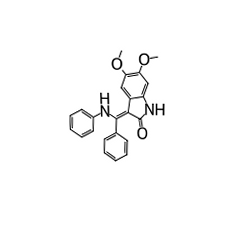 COc1cc2c(cc1OC)C(=C(Nc1ccccc1)c1ccccc1)C(=O)N2